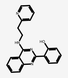 Oc1ccccc1-c1nc(NCCc2ccccn2)c2ccccc2n1